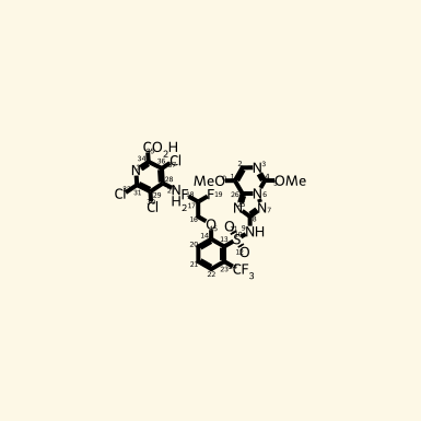 COc1cnc(OC)n2nc(NS(=O)(=O)c3c(OCC(F)F)cccc3C(F)(F)F)nc12.Nc1c(Cl)c(Cl)nc(C(=O)O)c1Cl